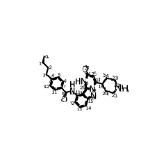 CCCCc1ccc(C(=O)Nc2cccc3nn4c(C5CCNCC5)cc(=O)[nH]c4c23)cc1